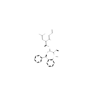 CCCC(O)C(CC(C)C)C(=O)NC1N=C(c2ccccc2)c2ccccc2N(C)C1C=O